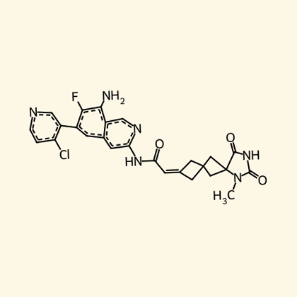 CN1C(=O)NC(=O)C12CC1(CC(=CC(=O)Nc3cc4cc(-c5cnccc5Cl)c(F)c(N)c4cn3)C1)C2